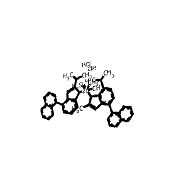 CC1=Cc2c(-c3cccc4ccccc34)ccc(C(C)C)c2[CH]1[Zr]([CH3])([CH3])(=[SiH2])[CH]1C(C(C)C)=Cc2c(-c3cccc4ccccc34)cccc21.Cl.Cl